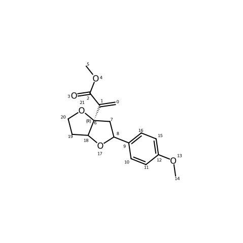 C=C(C(=O)OC)[C@]12CC(c3ccc(OC)cc3)OC1CCO2